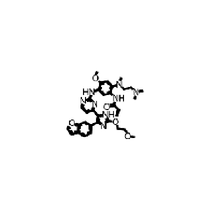 C=CC(=O)Nc1cc(Nc2nccc(-c3[nH]c(OCCOC)nc3-c3ccc4ccoc4c3)n2)c(OC)cc1N(C)CCN(C)C